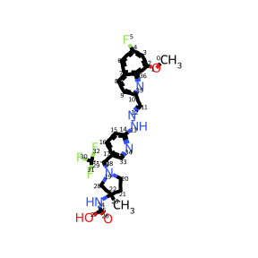 COc1cc(F)cc2ccc(C=NNc3ccc([C@H](N4CCC(C)(NC(=O)O)C4)C(F)(F)F)cn3)nc12